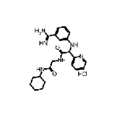 Cl.N=C(N)c1cccc(NC(C(=O)NCC(=O)NC2CCCCC2)c2ccccn2)c1